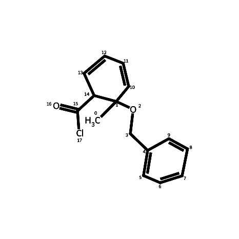 CC1(OCc2ccccc2)C=CC=CC1C(=O)Cl